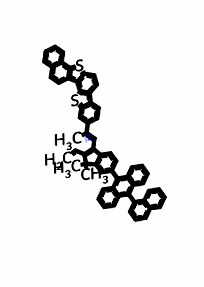 C=CC1=C(/C=C(\C)c2ccc3c(c2)sc2c3ccc3sc4c5ccccc5ccc4c32)c2ccc(-c3c4ccccc4c(-c4cccc5ccccc45)c4ccccc34)cc2C1(C)C